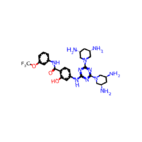 N[C@@H]1C[C@H](N)CN(c2nc(Nc3ccc(C(=O)Nc4cccc(OC(F)(F)F)c4)c(O)c3)nc(N3C[C@H](N)C[C@H](N)C3)n2)C1